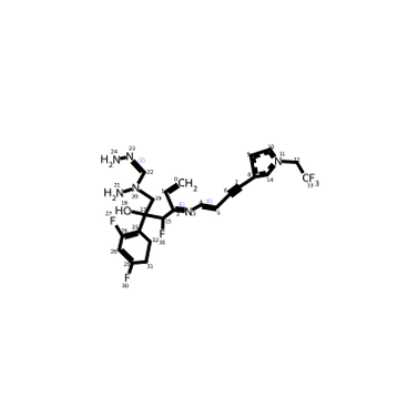 C=C/C(=N\C=C\C#Cc1ccn(CC(F)(F)F)c1)C(F)C(O)(CN(N)/C=N\N)C1=C(F)C=C(F)CC1